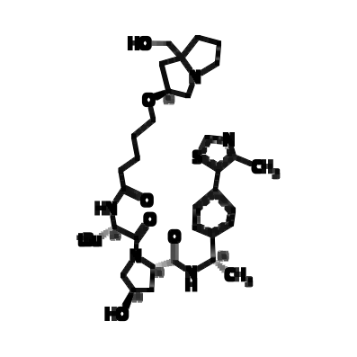 Cc1ncsc1-c1ccc([C@H](C)NC(=O)[C@@H]2C[C@@H](O)CN2C(=O)[C@@H](NC(=O)CCCCO[C@@H]2CN3CCCC3(CO)C2)C(C)(C)C)cc1